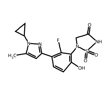 Cc1cc(-c2ccc(O)c(N3CC(=O)NS3(=O)=O)c2F)nn1C1CC1